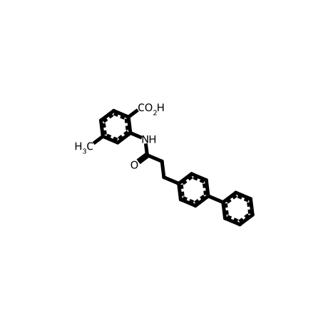 Cc1ccc(C(=O)O)c(NC(=O)CCc2ccc(-c3ccccc3)cc2)c1